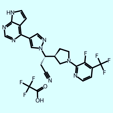 N#CC[C@@H]([C@H]1CCN(c2nccc(C(F)(F)F)c2F)C1)n1cc(-c2ncnc3[nH]ccc23)cn1.O=C(O)C(F)(F)F